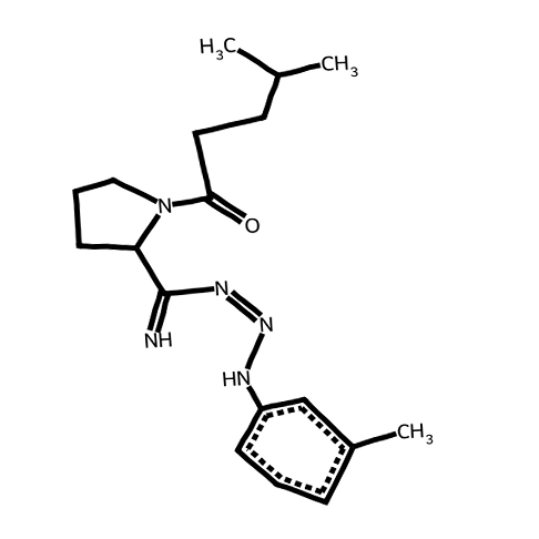 Cc1cccc(N/N=N\C(=N)C2CCCN2C(=O)CCC(C)C)c1